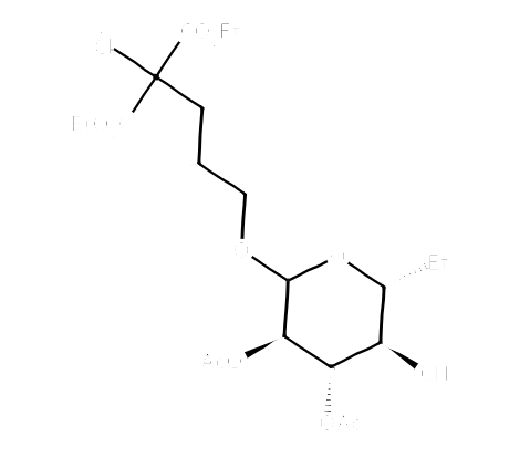 CCOC(=O)C(Cl)(CCCOC1O[C@H](CC)[C@@H](C)[C@H](OC(C)=O)[C@H]1OC(C)=O)C(=O)OCC